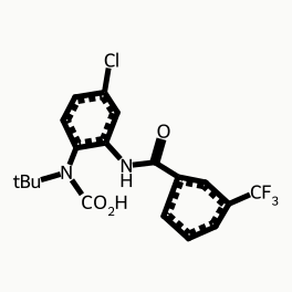 CC(C)(C)N(C(=O)O)c1ccc(Cl)cc1NC(=O)c1cccc(C(F)(F)F)c1